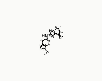 CCn1ncc2c1CC[C@@H](Nc1nc3c(Br)cccn3n1)C2